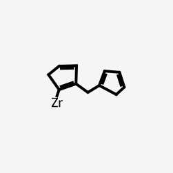 [Zr][C]1=C(CC2=CC=CC2)C=CC1